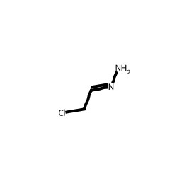 NN=CCCl